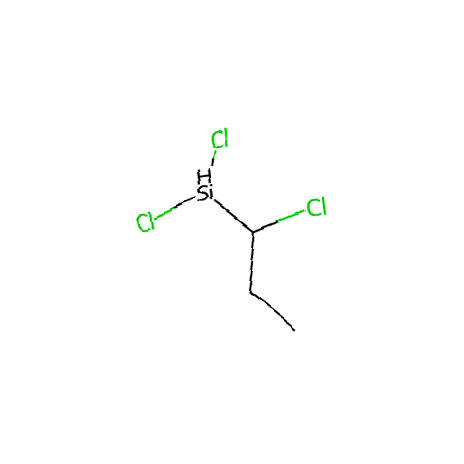 CCC(Cl)[SiH](Cl)Cl